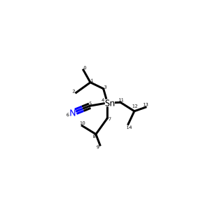 CC(C)[CH2][Sn]([C]#N)([CH2]C(C)C)[CH2]C(C)C